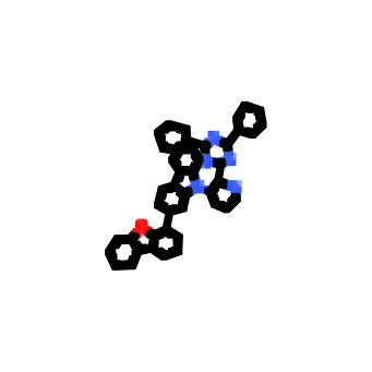 c1ccc(-c2nc(-c3ccccc3)nc(-c3ncccc3-n3c4ccccc4c4ccc(-c5cccc6c5oc5ccccc56)cc43)n2)cc1